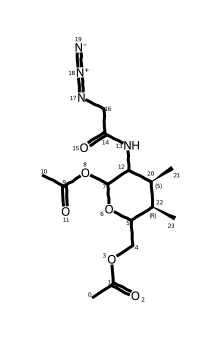 CC(=O)OCC1OC(OC(C)=O)C(NC(=O)CN=[N+]=[N-])[C@@H](C)[C@H]1C